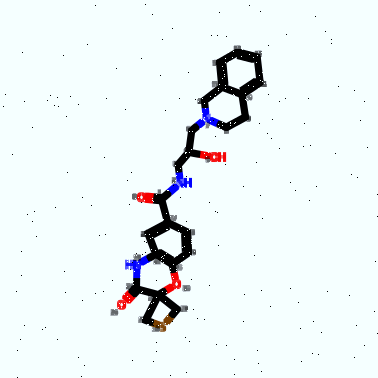 O=C(NCC(O)CN1CCc2ccccc2C1)c1ccc2c(c1)NC(=O)C1(CSC1)O2